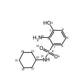 Nc1c(O)cccc1S(=O)(=O)NC1CCCCC1